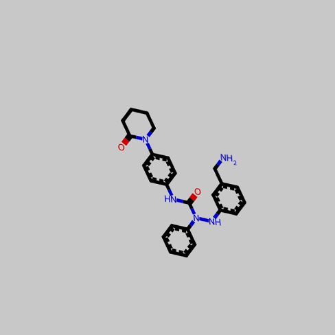 NCc1cccc(NN(C(=O)Nc2ccc(N3CCCCC3=O)cc2)c2ccccc2)c1